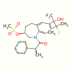 C/C=C1\C(=C/C2=CC(C)(F)C2(O)C(F)(F)F)CC[C@H](OS(C)(=O)=O)CN1C(=O)[C@@H](C)c1ccccc1